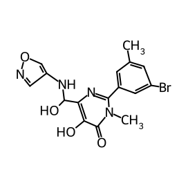 Cc1cc(Br)cc(-c2nc(C(O)Nc3cnoc3)c(O)c(=O)n2C)c1